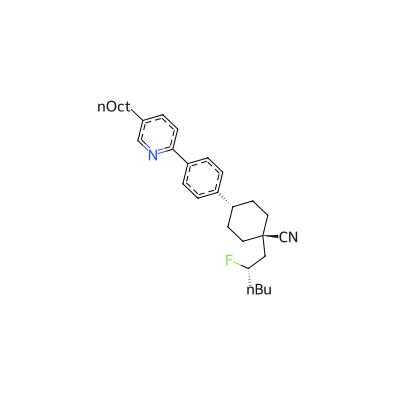 CCCCCCCCc1ccc(-c2ccc([C@H]3CC[C@@](C#N)(C[C@@H](F)CCCC)CC3)cc2)nc1